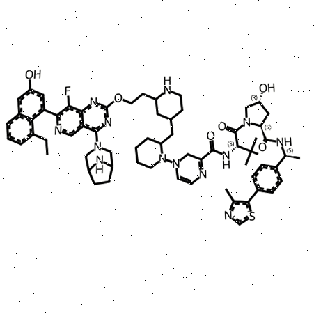 CCc1cccc2cc(O)cc(-c3ncc4c(N5CC6CCC(C5)N6)nc(OCCC5CC(CC6CCCCN6N6C=CN=C(C(=O)N[C@H](C(=O)N7C[C@H](O)C[C@H]7C(=O)N[C@@H](C)c7ccc(-c8scnc8C)cc7)C(C)(C)C)C6)CCN5)nc4c3F)c12